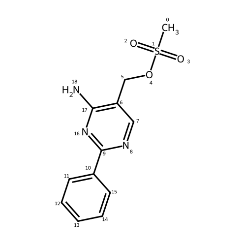 CS(=O)(=O)OCc1cnc(-c2ccccc2)nc1N